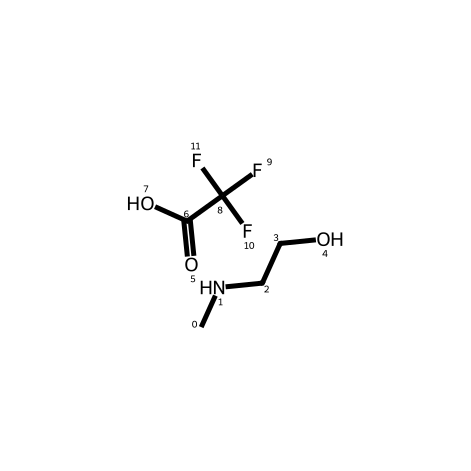 CNCCO.O=C(O)C(F)(F)F